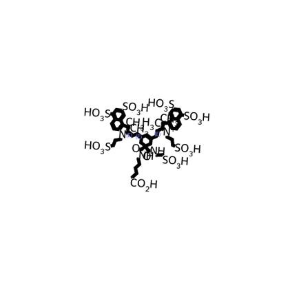 CC1(C)C(/C=C/C2=CC(=C/C=C3/N(CCCS(=O)(=O)O)c4ccc5c(S(=O)(=O)O)cc(S(=O)(=O)O)cc5c4C3(C)C)/CC(C(=O)NCCCCCC(=O)O)(C(=O)NCCS(=O)(=O)O)C2)=[N+](CCCS(=O)(=O)O)c2ccc3c(S(=O)(=O)O)cc(S(=O)(=O)O)cc3c21